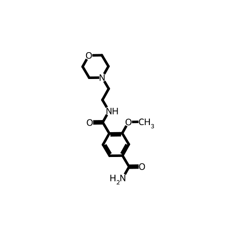 COc1cc(C(N)=O)ccc1C(=O)NCCN1CCOCC1